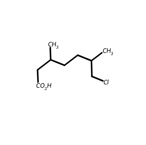 CC(CCl)CCC(C)CC(=O)O